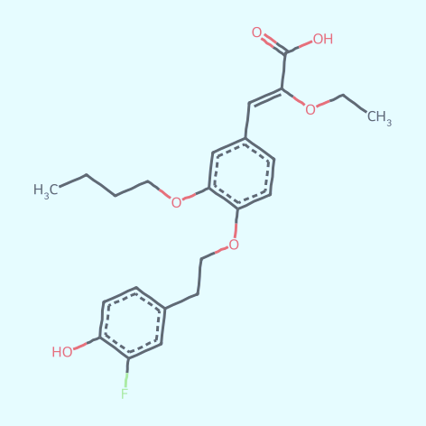 CCCCOc1cc(/C=C(\OCC)C(=O)O)ccc1OCCc1ccc(O)c(F)c1